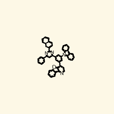 C1=CC2=CC=C(c3nc(-c4ccccc4)cc(-c4cc(-c5ccnc6c5oc5ccccc56)cc(-n5c6ccccc6c6ccccc65)c4)n3)CC2C=C1